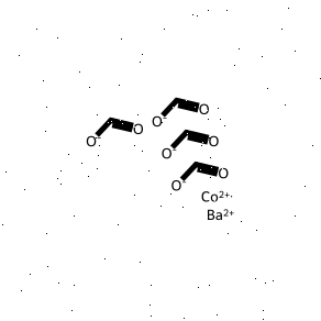 O=C[O-].O=C[O-].O=C[O-].O=C[O-].[Ba+2].[Co+2]